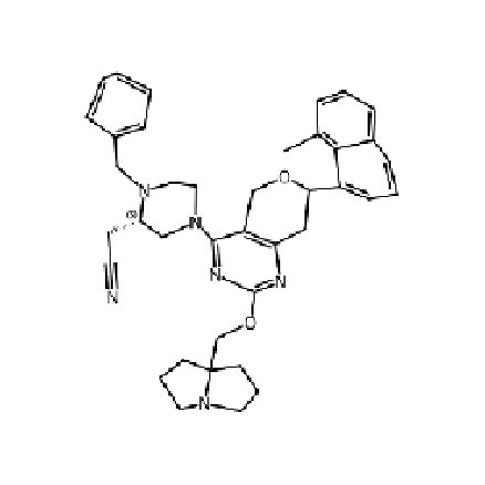 Cc1cccc2cccc(C3Cc4nc(OCC56CCCN5CCC6)nc(N5CCN(Cc6ccccc6)[C@@H](CC#N)C5)c4CO3)c12